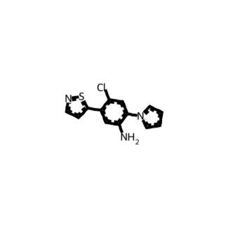 Nc1cc(-c2ccns2)c(Cl)cc1-n1cccc1